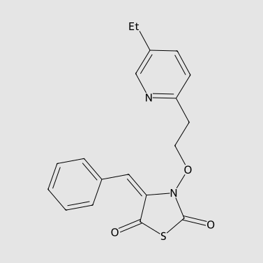 CCc1ccc(CCON2C(=O)SC(=O)C2=Cc2ccccc2)nc1